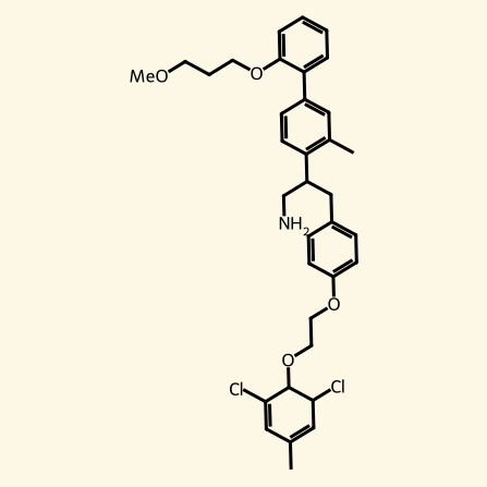 COCCCOc1ccccc1-c1ccc(C(CN)Cc2ccc(OCCOC3C(Cl)=CC(C)=CC3Cl)cc2)c(C)c1